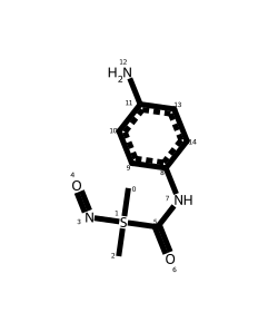 CS(C)(N=O)C(=O)Nc1ccc(N)cc1